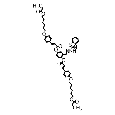 C=CC(=O)OCCCCCCOc1ccc(/C=C/C(=O)Oc2ccc(OC(=O)/C=C/c3ccc(OCCCCCCOC(=O)C=C)cc3)c(/C=N/Nc3nc4ccccc4s3)c2)cc1